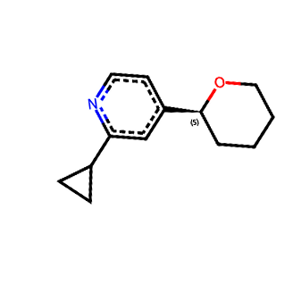 c1cc([C@@H]2CCCCO2)cc(C2CC2)n1